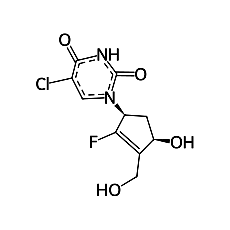 O=c1[nH]c(=O)n([C@H]2C[C@@H](O)C(CO)=C2F)cc1Cl